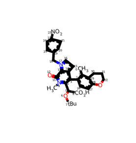 Cc1c(-c2c(C(OC(C)(C)C)C(=O)O)n(C)c(=O)c3c2ccn3Cc2ccc([N+](=O)[O-])cc2)ccc2c1CCCO2